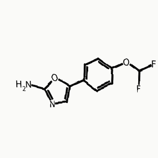 Nc1ncc(-c2ccc(OC(F)F)cc2)o1